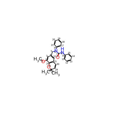 COc1cc(CN(C(=O)Nc2ccccc2)c2ccccc2)cc2c1OC(C)(C)C=C2